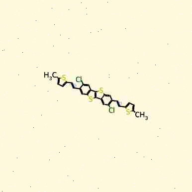 Cc1ccc(/C=C/c2cc3sc4c5cc(Cl)c(/C=C/c6ccc(C)s6)cc5sc4c3cc2Cl)s1